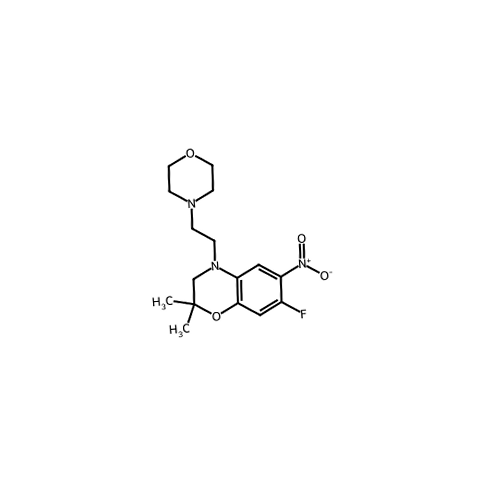 CC1(C)CN(CCN2CCOCC2)c2cc([N+](=O)[O-])c(F)cc2O1